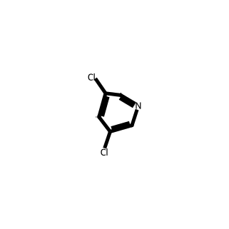 Clc1[c]ncc(Cl)[c]1